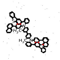 Cc1cc(-c2ccc(N(c3ccc(-c4cccc5ccccc45)cc3)c3ccccc3-c3ccc4sc5ccccc5c4c3)c(C)c2)ccc1N(c1ccc(-c2cccc3ccccc23)cc1)c1ccccc1-c1ccc2sc3ccccc3c2c1